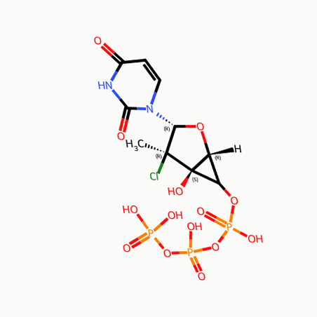 C[C@]1(Cl)[C@H](n2ccc(=O)[nH]c2=O)O[C@@H]2C(OP(=O)(O)OP(=O)(O)OP(=O)(O)O)[C@@]21O